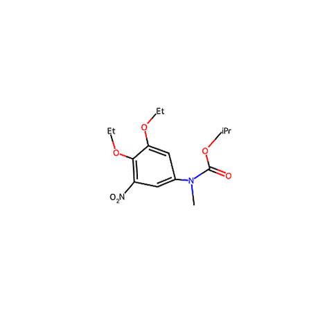 CCOc1cc(N(C)C(=O)OC(C)C)cc([N+](=O)[O-])c1OCC